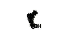 COc1nc(-c2ccccc2)ccc1N(C)c1ccc(C(C)CC(=O)O)cc1